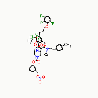 Cc1ccc(CCN(C(=O)C2=C(c3ccc(CCCOc4c(F)ccc(F)c4F)cc3)CC3CN(C(=O)Oc4cccc(CO[N+](=O)[O-])c4)CC2N3C(=O)OC(C)(C)C(Cl)(Cl)Cl)C2CC2)cc1